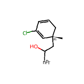 CCCC(O)C[C@]1(C)C=C(Cl)C=CC1